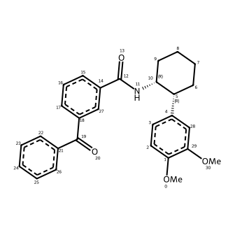 COc1ccc([C@H]2CCCC[C@H]2NC(=O)c2cccc(C(=O)c3ccccc3)c2)cc1OC